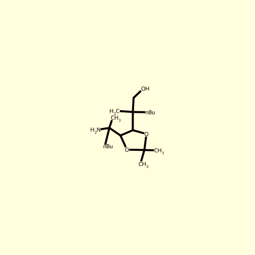 CCCCC(C)(N)C1OC(C)(C)OC1C(C)(CO)CCCC